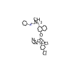 CN(C/C=C/c1ccccc1)Cc1ccc(OC[C@@H]2CO[C@@](Cn3ccnc3)(c3ccc(Cl)cc3Cl)O2)c2ccccc12